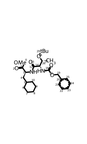 COC(=O)[C@H](CC1CCCCC1)NC(=O)[C@@H](NC(=O)OCc1ccccc1)[C@@H](C)OC(C)(C)C